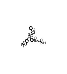 O=C(O)CCNC(=O)c1cccc(N(Cc2ccc(OC(F)(F)F)cc2)C(=O)Oc2ccc3oc4ccccc4c3c2)c1